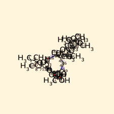 CCC(C)[C@H]1O[C@]2(C=C[C@@H]1C)C[C@@H]1C[C@@H](C/C=C(\C)[C@@H](O[C@H]3C[C@H](OC)[C@@H](O[C@H]4C[C@H](OC)[C@](C)(NC)[C@H](C)O4)[C@H](C)O3)C(C)/C=C/C=C3\CO[C@@H]4[C@H](O)C(C)=C[C@@H](C(=O)O1)[C@]34O)O2